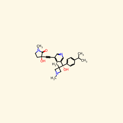 CC(C)c1ccc([C@](O)(c2cncc(C#C[C@]3(O)CCN(C)C3=O)c2)C2(C)CN(C)C2)cc1